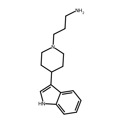 NCCCN1CCC(c2c[nH]c3ccccc23)CC1